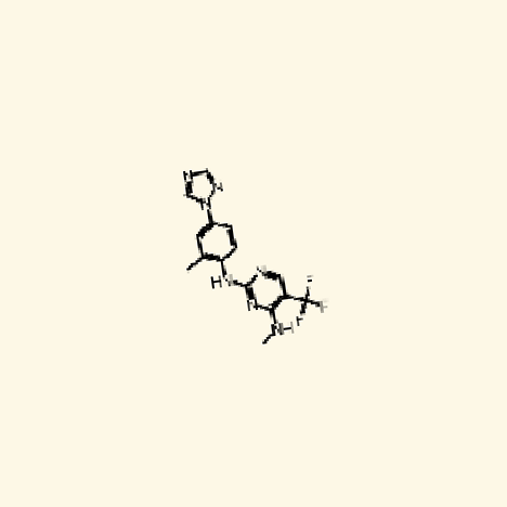 CNc1nc(Nc2ccc(-n3cncn3)cc2C)ncc1C(F)(F)F